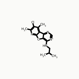 Cc1nc2oc3c(NCC(C)C)[n+]#cnc3c2c(C)c1Cl